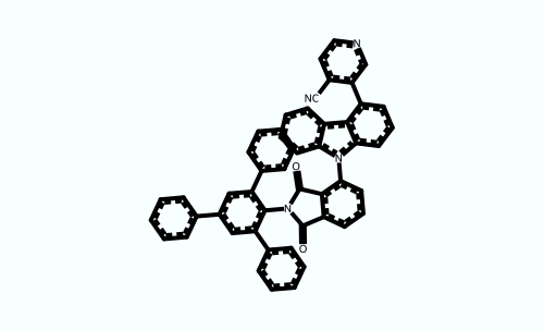 N#Cc1ccncc1-c1cccc2c1c1ccccc1n2-c1cccc2c1C(=O)N(c1c(-c3ccccc3)cc(-c3ccccc3)cc1-c1ccccc1)C2=O